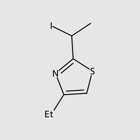 CCc1csc(C(C)I)n1